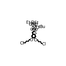 CCOP(=O)(CN(C(=O)OC(C)(C)C)S(=O)(=O)c1cc2cc(OCCCCCl)c(OCCCCCl)cc2s1)OCC